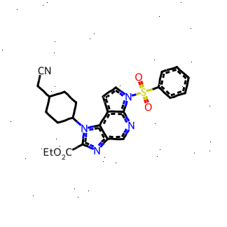 CCOC(=O)c1nc2cnc3c(ccn3S(=O)(=O)c3ccccc3)c2n1C1CCC(CC#N)CC1